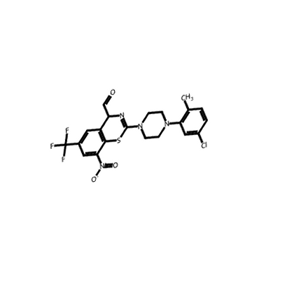 Cc1ccc(Cl)cc1N1CCN(C2=NC(C=O)c3cc(C(F)(F)F)cc([N+](=O)[O-])c3S2)CC1